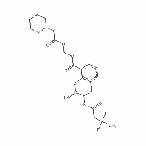 CC(F)(F)CC(=O)NC1Cc2cccc(C(=O)OCOC(=O)OC3CCCCC3)c2OB1O